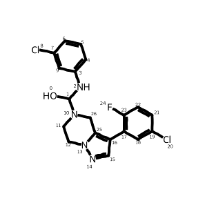 OC(Nc1cccc(Cl)c1)N1CCn2ncc(-c3cc(Cl)ccc3F)c2C1